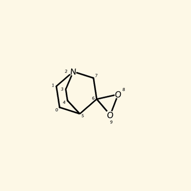 C1CN2CCC1C1(C2)OO1